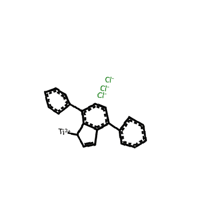 [Cl-].[Cl-].[Cl-].[Ti+3][CH]1C=Cc2c(-c3ccccc3)ccc(-c3ccccc3)c21